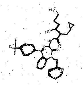 CCCCC(O)C(CC1CC1)C(=O)NC1N=C(c2ccc(C(F)(F)F)cc2)c2ccccc2N(Cc2ccccn2)C1=O